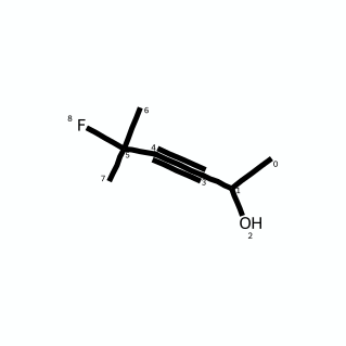 CC(O)C#CC(C)(C)F